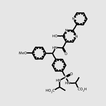 COc1ccc(C(NC(=O)c2cnc(-c3ccccn3)nc2O)c2ccc(P(=O)(NC(C)C(=O)O)NC(C)C(=O)O)cc2)cc1